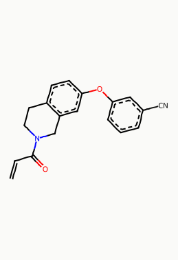 C=CC(=O)N1CCc2ccc(Oc3cccc(C#N)c3)cc2C1